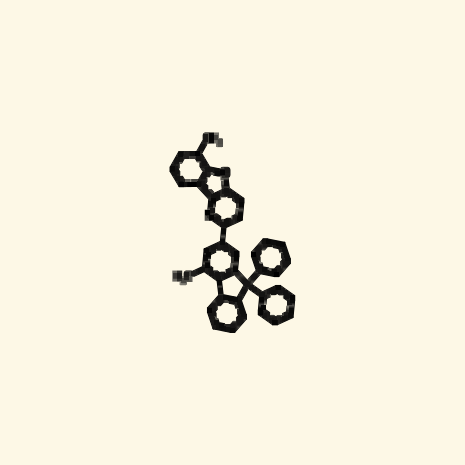 Cc1cc(-c2ccc3oc4c(C)cccc4c3n2)cc2c1-c1ccccc1C2(c1ccccc1)c1ccccc1